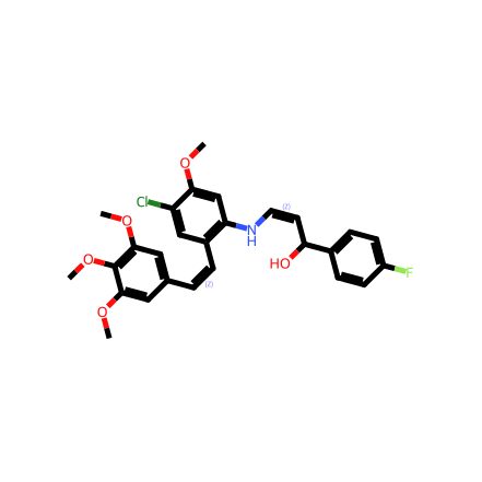 COc1cc(N/C=C\C(O)c2ccc(F)cc2)c(/C=C\c2cc(OC)c(OC)c(OC)c2)cc1Cl